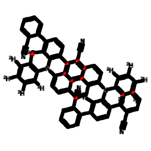 [2H]c1c([2H])c([2H])c(N(c2c(-c3ccccc3C#N)ccc(-c3ccccc3C#N)c2F)c2ccc3ccc4c(N(c5c([2H])c([2H])c([2H])c([2H])c5[2H])c5c(-c6ccccc6C#N)ccc(-c6ccccc6C#N)c5F)ccc5ccc2c3c54)c([2H])c1[2H]